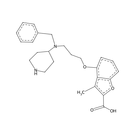 Cc1c(C(=O)O)oc2cccc(OCCCN(Cc3ccccc3)C3CCNCC3)c12